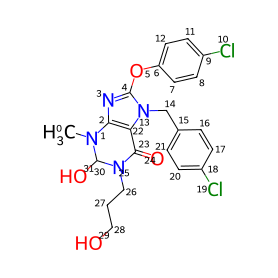 CN1c2nc(Oc3ccc(Cl)cc3)n(Cc3ccc(Cl)cc3)c2C(=O)N(CCCO)C1O